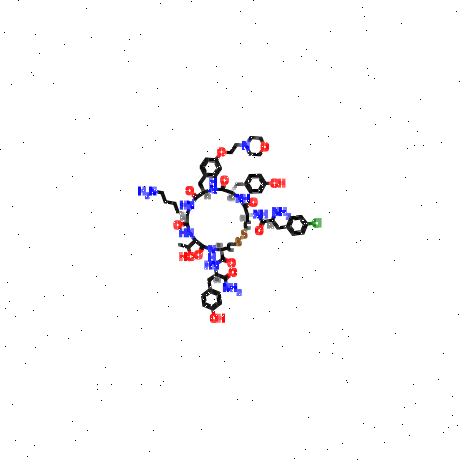 CC(O)C1NC(=O)[C@H](CCCCN)NC(=O)[C@@H](Cc2ccc(OCCN3CCOCC3)cc2)NC(=O)[C@H](Cc2ccc(O)cc2)NC(=O)[C@H](NC(=O)[C@@H](N)Cc2ccc(Cl)cc2)CSSC[C@@H](C(=O)N[C@H](Cc2ccc(O)cc2)C(N)=O)NC1=O